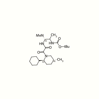 CN[C@@H](NC(=O)C(=O)N1C[C@H](C)CC[C@H]1C1CCCCC1)C(C)NC(=O)OC(C)(C)C